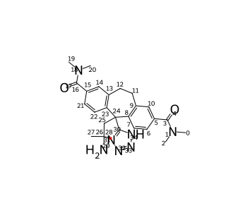 CN(C)C(=O)c1ccc2c(c1)CCc1cc(C(=O)N(C)C)ccc1C2(CC(C)(C)N)c1nnn[nH]1